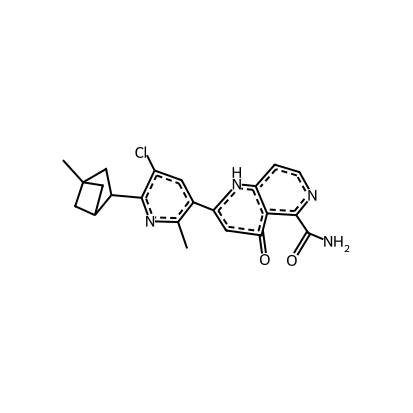 Cc1nc(C2CC3(C)CC2C3)c(Cl)cc1-c1cc(=O)c2c(C(N)=O)nccc2[nH]1